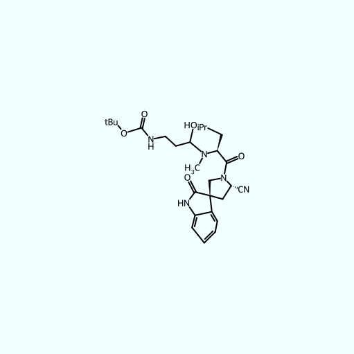 CC(C)C[C@@H](C(=O)N1C[C@]2(C[C@H]1C#N)C(=O)Nc1ccccc12)N(C)C(O)CCNC(=O)OC(C)(C)C